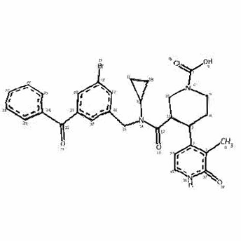 Cc1c(C2CCN(C(=O)O)CC2C(=O)N(Cc2cc(Br)cc(C(=O)c3ccccc3)c2)C2CC2)cc[nH]c1=O